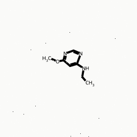 CCNc1cc(OC)ncn1